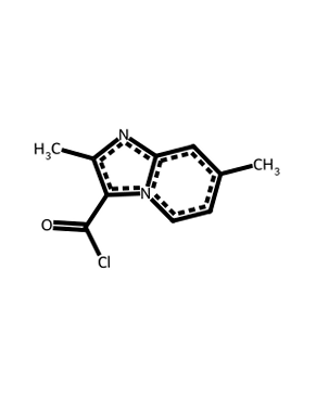 Cc1ccn2c(C(=O)Cl)c(C)nc2c1